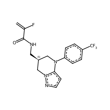 C=C(F)C(=O)NC[C@H]1CN(c2ccc(C(F)(F)F)cc2)c2ccnn2C1